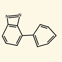 c1ccc(-c2cccc3c2N=N3)cc1